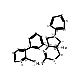 NC1=N[C@@]2(c3cccc(-c4cccnc4F)c3)CN(c3ccccc3)C[C@H]2CS1